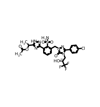 CC(=O)OC(C)c1nc(-c2cccc(Cn3nc(-c4ccc(Cl)cc4)n(C[C@H](O)C(F)(F)F)c3=O)c2S(N)(=O)=O)n[nH]1